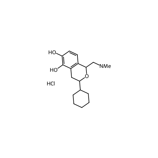 CNCC1OC(C2CCCCC2)Cc2c1ccc(O)c2O.Cl